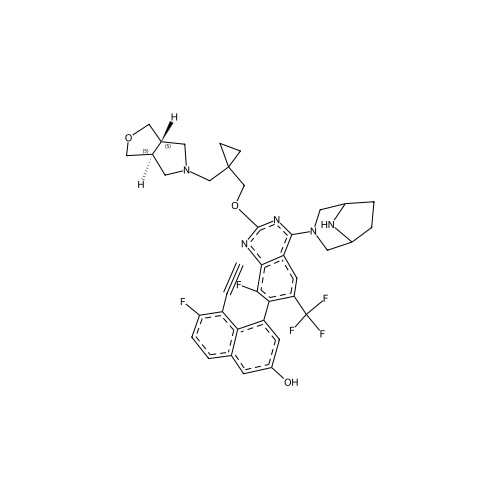 C#Cc1c(F)ccc2cc(O)cc(-c3c(C(F)(F)F)cc4c(N5CC6CCC(C5)N6)nc(OCC5(CN6C[C@H]7COC[C@@H]7C6)CC5)nc4c3F)c12